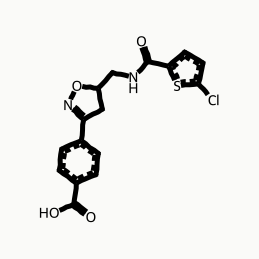 O=C(O)c1ccc(C2=NOC(CNC(=O)c3ccc(Cl)s3)C2)cc1